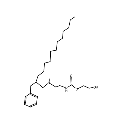 CCCCCCCCCCCCC(CNCCNC(=O)OCCO)Cc1ccccc1